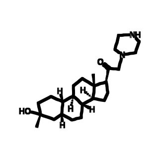 C[C@@]1(O)CC[C@H]2[C@H](CC[C@@H]3[C@@H]2CC[C@]2(C)[C@@H](C(=O)CN4CCNCC4)CC[C@@H]32)C1